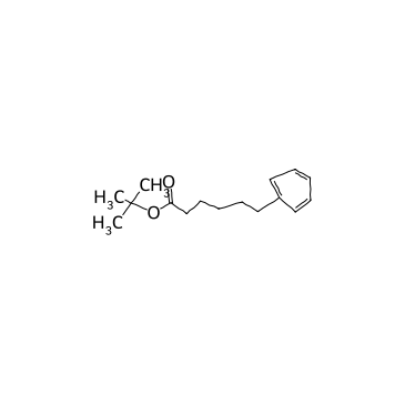 CC(C)(C)OC(=O)CCCCCc1ccccc1